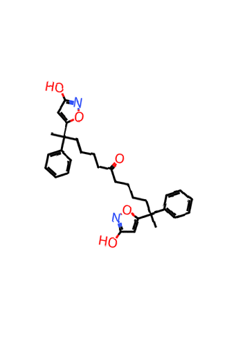 CC(CCCCC(=O)CCCCC(C)(c1ccccc1)c1cc(O)no1)(c1ccccc1)c1cc(O)no1